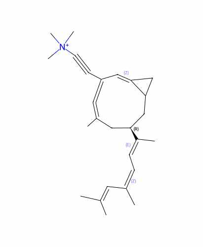 CC1=C=C(C#C[N+](C)(C)C)/C=C2/CC2C[C@@H](/C(C)=C/C=C(/C)C=C(C)C)C1